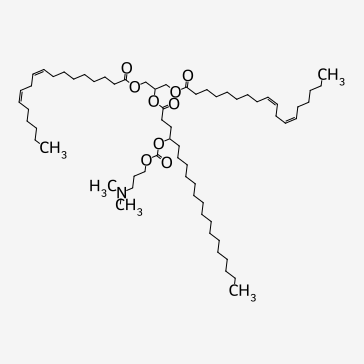 CCCCC/C=C\C/C=C\CCCCCCCC(=O)OCC(COC(=O)CCCCCCC/C=C\C/C=C\CCCCC)OC(=O)CCC(CCCCCCCCCCCCCCCC)OC(=O)OCCCN(C)C